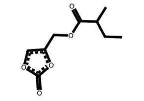 CCC(C)C(=O)OCc1coc(=O)o1